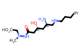 CC(C)CCCNC[C@H](N)C[C@@H](O)CC(=O)NN(C)CC(=O)O